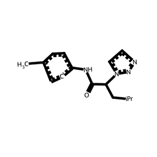 Cc1ccc(NC(=O)C(CC(C)C)n2ccnn2)cc1